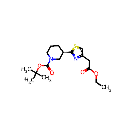 CCOC(=O)Cc1csc([C@@H]2CCCN(C(=O)OC(C)(C)C)C2)n1